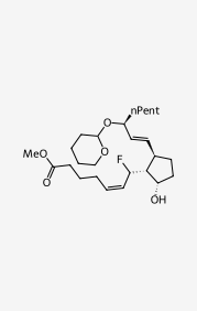 CCCCC[C@@H](/C=C/[C@H]1CC[C@H](O)[C@@H]1C(F)/C=C\CCCC(=O)OC)OC1CCCCO1